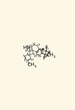 Cc1cccc(CC23CCNC2CCc2cc(C(C)(F)C(F)(F)F)ccc23)c1